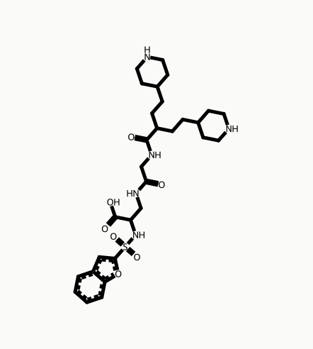 O=C(CNC(=O)C(CCC1CCNCC1)CCC1CCNCC1)NCC(NS(=O)(=O)c1cc2ccccc2o1)C(=O)O